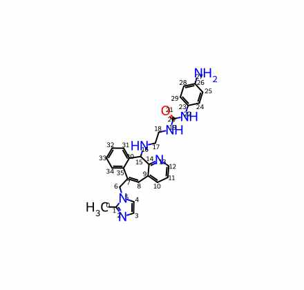 Cc1nccn1CC1=Cc2cccnc2C(NCCNC(=O)Nc2ccc(N)cc2)c2ccccc21